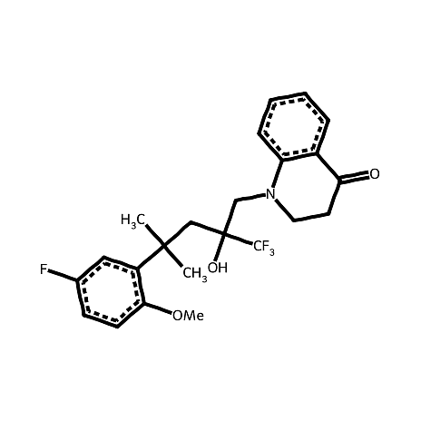 COc1ccc(F)cc1C(C)(C)CC(O)(CN1CCC(=O)c2ccccc21)C(F)(F)F